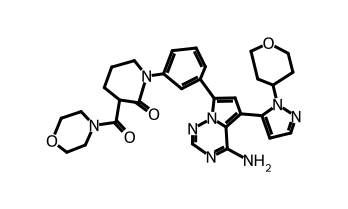 Nc1ncnn2c(-c3cccc(N4CCCC(C(=O)N5CCOCC5)C4=O)c3)cc(-c3ccnn3C3CCOCC3)c12